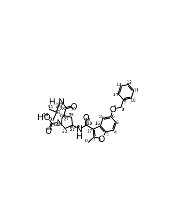 Cc1oc2ccc(OCc3ccccc3)cc2c1C(=O)N[C@H]1CN(C(=O)O)[C@](C(N)=O)(C(C)(C)C)C1